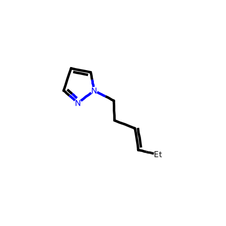 [CH2]CC=CCCn1cccn1